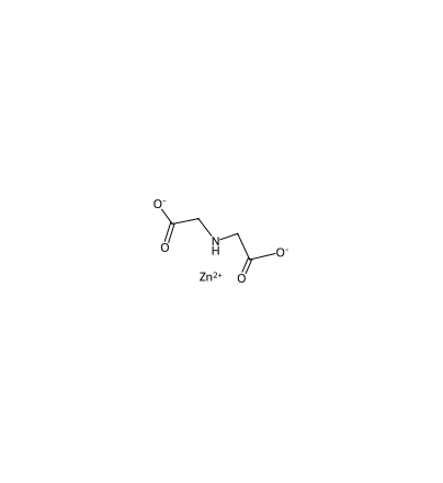 O=C([O-])CNCC(=O)[O-].[Zn+2]